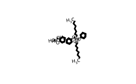 CCCCCCCCO[PH](CCCCCCCC)(Oc1ccccc1)Oc1ccccc1.O=[PH](O)O.c1ccccc1